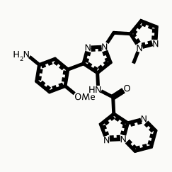 COc1ccc(N)cc1-c1nn(Cc2ccnn2C)cc1NC(=O)c1cnn2cccnc12